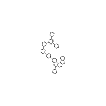 c1ccc(-c2cc(-c3cccc(-c4cccc(-c5ccc(-c6ccc7c(c6)nc(-c6ccccc6)c6ccc8sc9ccccc9c8c67)cc5)c4)c3)nc(-c3ccccc3)n2)cc1